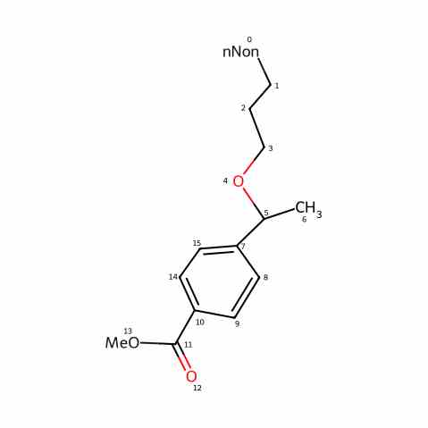 CCCCCCCCCCCCOC(C)c1ccc(C(=O)OC)cc1